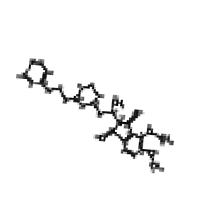 COc1ccc2c(c1OC)C(=O)N(C(C)CC1CCCN(CCCc3cccnc3)C1)C2=O